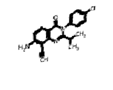 C#Cc1c(N)ccc2c(=O)n(-c3ccc(Cl)cc3)c(C(C)C)nc12